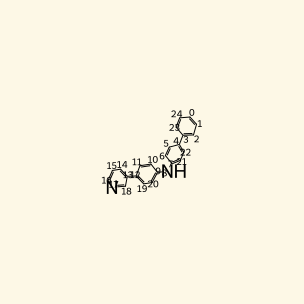 c1ccc(-c2ccc(Nc3ccc(-c4cccnc4)cc3)cc2)cc1